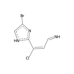 N=C/C=C(/Cl)c1nc(Br)c[nH]1